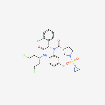 O=C(NC(CCF)CCF)[C@H](c1ccccc1Cl)N(C(=O)[C@@H]1CCN(S(=O)(=O)N2CC2)C1)c1cccc(F)c1